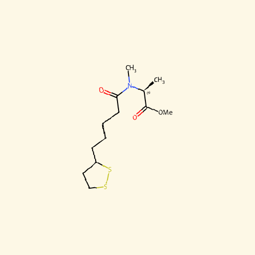 COC(=O)[C@H](C)N(C)C(=O)CCCCC1CCSS1